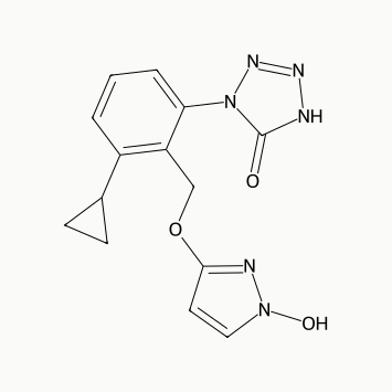 O=c1[nH]nnn1-c1cccc(C2CC2)c1COc1ccn(O)n1